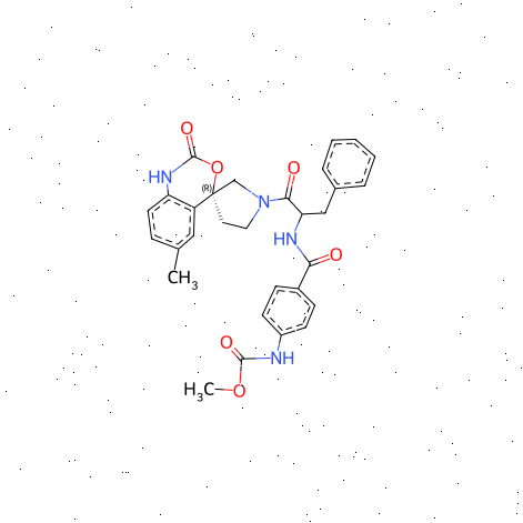 COC(=O)Nc1ccc(C(=O)NC(Cc2ccccc2)C(=O)N2CC[C@@]3(C2)OC(=O)Nc2ccc(C)cc23)cc1